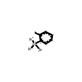 Cc1cccc[c]1[Zr]([Br])([Br])[Br]